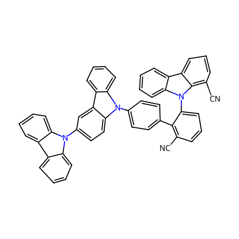 N#Cc1cccc(-n2c3ccccc3c3cccc(C#N)c32)c1-c1ccc(-n2c3ccccc3c3cc(-n4c5ccccc5c5ccccc54)ccc32)cc1